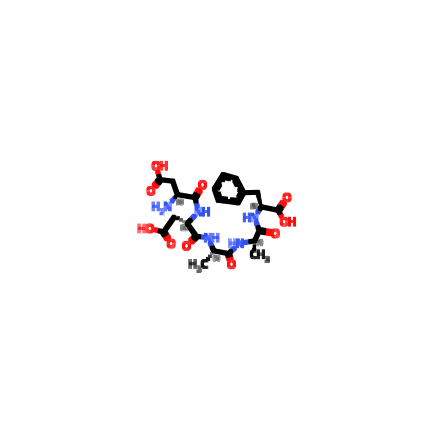 C[C@H](NC(=O)[C@H](C)NC(=O)[C@H](CC(=O)O)NC(=O)[C@@H](N)CC(=O)O)C(=O)N[C@@H](Cc1ccccc1)C(=O)O